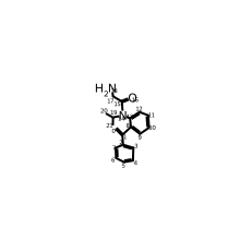 C=C(c1ccccc1)c1ccccc1N(C(=O)CN)C(C)C